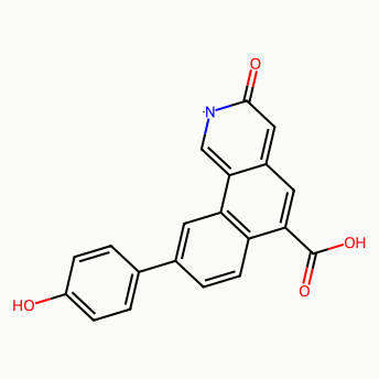 O=C1C=c2cc(C(=O)O)c3ccc(-c4ccc(O)cc4)cc3c2=C[N]1